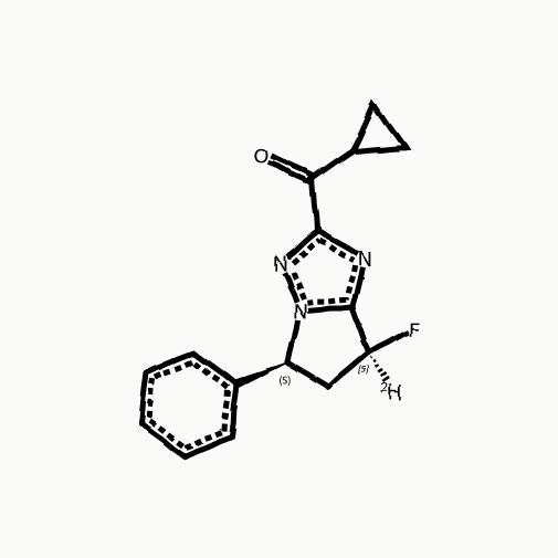 [2H][C@]1(F)C[C@@H](c2ccccc2)n2nc(C(=O)C3CC3)nc21